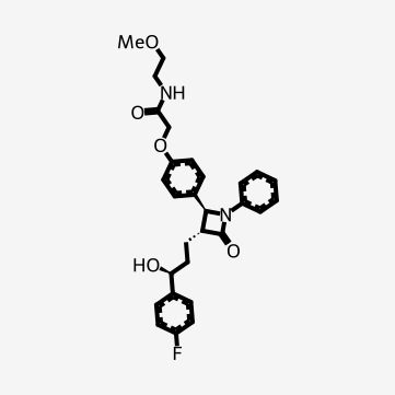 COCCNC(=O)COc1ccc([C@@H]2[C@@H](CC[C@H](O)c3ccc(F)cc3)C(=O)N2c2ccccc2)cc1